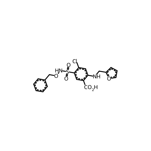 O=C(O)c1cc(S(=O)(=O)NOCc2ccccc2)c(Cl)cc1NCc1ccco1